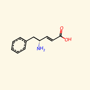 N[C@@H](/C=C/C(=O)O)Cc1ccccc1